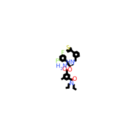 CCCN(CCC)C(=O)c1cc(C)cc(C(=O)O[C@H](CNCc2cccc(-c3ccsc3)c2)[C@@H](N)Cc2cc(F)cc(F)c2)c1